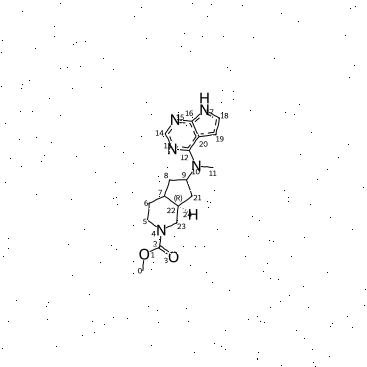 COC(=O)N1CCC2CC(N(C)c3ncnc4[nH]ccc34)C[C@H]2C1